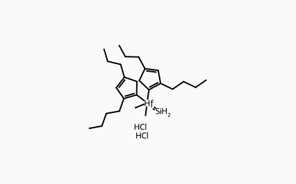 CCCCC1=[C]([Hf]([CH3])([CH3])(=[SiH2])[C]2=C(CCCC)C=C(CCC)C2)CC(CCC)=C1.Cl.Cl